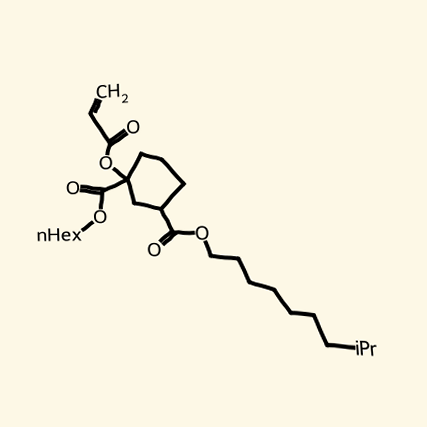 C=CC(=O)OC1(C(=O)OCCCCCC)CCCC(C(=O)OCCCCCCCC(C)C)C1